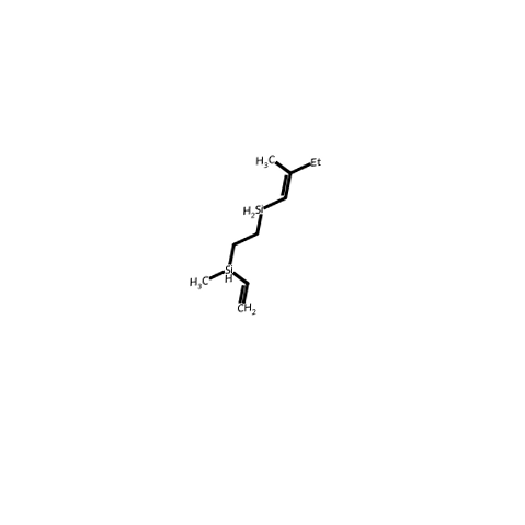 C=C[SiH](C)CC[SiH2]C=C(C)CC